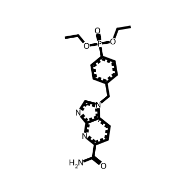 CCOP(=O)(OCC)c1ccc(Cn2cnc3nc(C(N)=O)ccc32)cc1